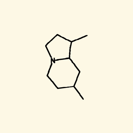 CC1CCN2CCC(C)C2C1